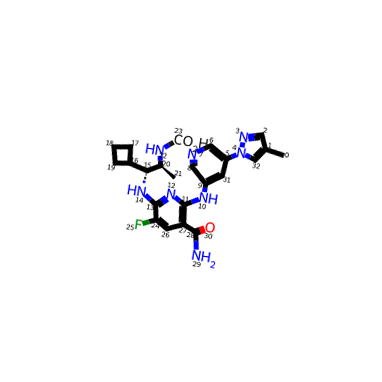 Cc1cnn(-c2cncc(Nc3nc(N[C@H](C4CCC4)[C@H](C)NC(=O)O)c(F)cc3C(N)=O)c2)c1